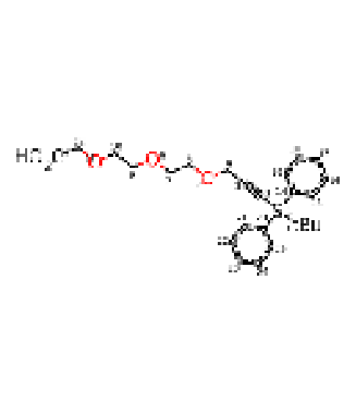 CC(C)(C)[Si](C#CCOCCOCCOCC(=O)O)(c1ccccc1)c1ccccc1